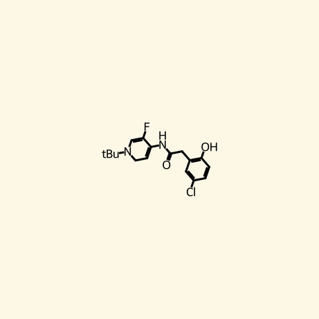 CC(C)(C)N1C=C(F)C(NC(=O)Cc2cc(Cl)ccc2O)=CC1